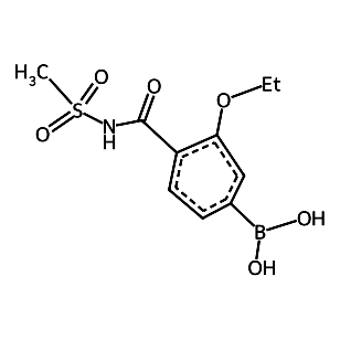 CCOc1cc(B(O)O)ccc1C(=O)NS(C)(=O)=O